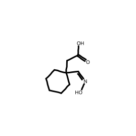 O=C(O)CC1(/C=N\O)CCCCC1